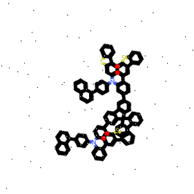 c1ccc(N(c2ccc(-c3ccc4c(c3)C3(c5ccccc5-c5ccccc53)c3ccc(-c5ccc(-c6ccc7sc8ccccc8c7c6)c(N(c6ccc(-c7cccc8ccccc78)cc6)c6ccc7c(c6)sc6ccccc67)c5)cc3-4)cc2)c2ccc(-c3cccc4ccccc34)cc2)c(-c2ccc3sc4ccccc4c3c2)c1